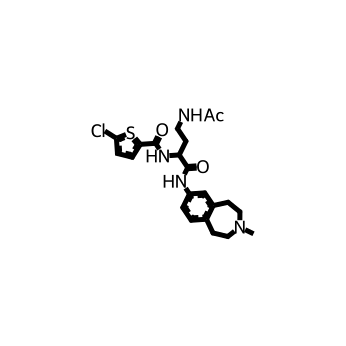 CC(=O)NCCC(NC(=O)c1ccc(Cl)s1)C(=O)Nc1ccc2c(c1)CCN(C)CC2